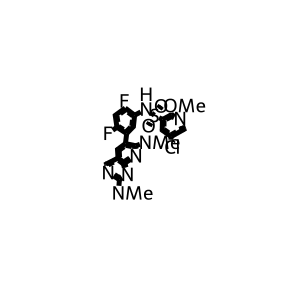 CNc1ncc2cc(-c3cc(NS(=O)(=O)c4cc(Cl)cnc4OC)c(F)cc3F)c(NC)nc2n1